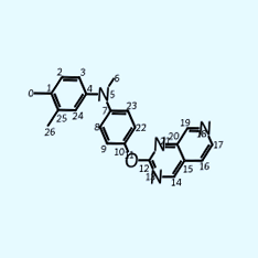 Cc1ccc(N(C)c2ccc(Oc3ncc4ccncc4n3)cc2)cc1C